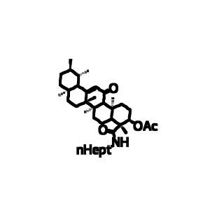 CCCCCCCNC(=O)[C@]1(C)C2CC[C@]3(C)C(C(=O)C=C4C5[C@@H](C)[C@H](C)CC[C@]5(C)CC[C@]43C)[C@@]2(C)CC[C@H]1OC(C)=O